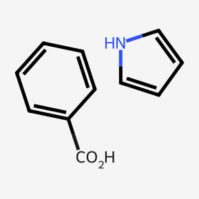 O=C(O)c1ccccc1.c1cc[nH]c1